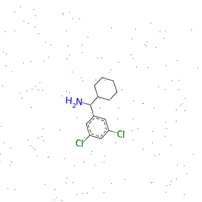 NC(c1cc(Cl)cc(Cl)c1)C1CCCCC1